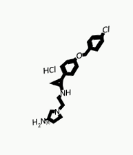 Cl.N[C@@H]1CCN(CCNC2CC2c2ccc(OCc3ccc(Cl)cc3)cc2)C1